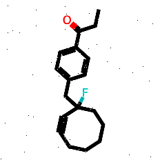 CCC(=O)c1ccc(CC2(F)C#CCCCCC2)cc1